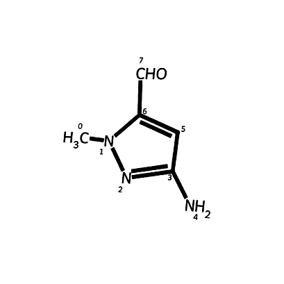 Cn1nc(N)cc1C=O